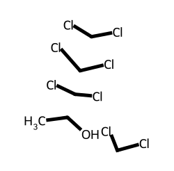 CCO.ClCCl.ClCCl.ClCCl.ClCCl